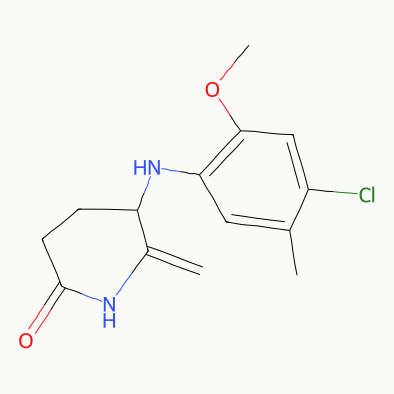 C=C1NC(=O)CCC1Nc1cc(C)c(Cl)cc1OC